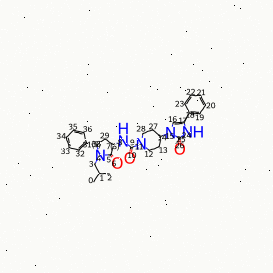 CC(C)CN1C(=O)[C@@H](NC(=O)N2CCC(n3cc(-c4ccccc4)[nH]c3=O)CC2)C[C@H]1c1ccccc1